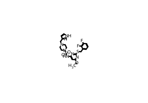 COc1cc(NS(=O)(=O)N2CCN(Cc3cc[nH]n3)CC2)nc(SCc2cccc(F)c2F)n1